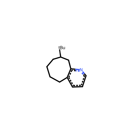 CC(C)(C)C1CCCCc2cccnc2C1